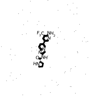 Nc1ncc(-c2ccc3nc(NC(=O)[C@@H]4CCCN4)cn3c2)cc1C(F)(F)F